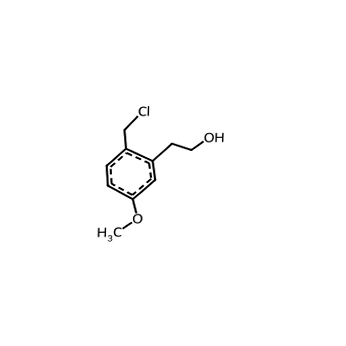 COc1ccc(CCl)c(CCO)c1